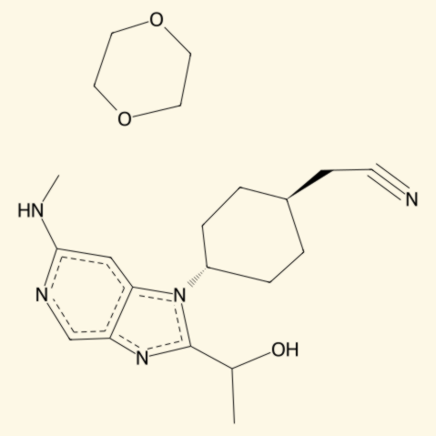 C1COCCO1.CNc1cc2c(cn1)nc(C(C)O)n2[C@H]1CC[C@H](CC#N)CC1